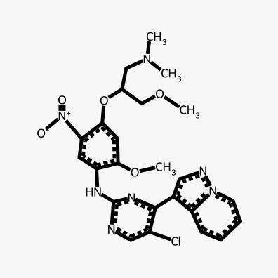 COCC(CN(C)C)Oc1cc(OC)c(Nc2ncc(Cl)c(-c3cnn4ccccc34)n2)cc1[N+](=O)[O-]